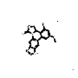 COc1cc(F)c2c(c1)-c1cc3[nH]cnc3cc1N1C(=O)OCC21